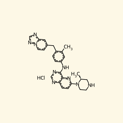 Cc1cc(Nc2ncnc3ccc(N4CCNC[C@@H]4C)nc23)ccc1Cc1ccn2ncnc2c1.Cl